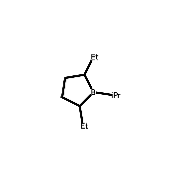 CCC1CCC(CC)B1C(C)C